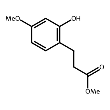 COC(=O)CCc1ccc(OC)cc1O